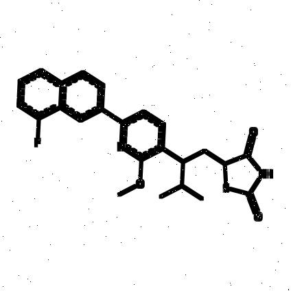 COc1nc(-c2ccc3cccc(F)c3c2)ccc1C(CC1SC(=O)NC1=O)C(C)C